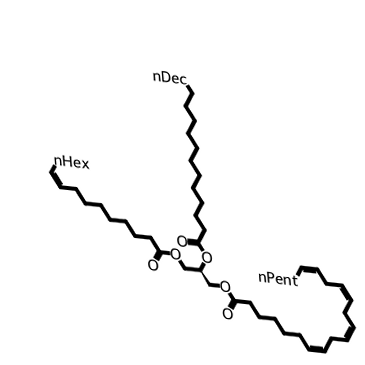 CCCCC/C=C\C/C=C\C/C=C\C/C=C\CCCCCC(=O)OC[C@@H](COC(=O)CCCCCCC/C=C\CCCCCC)OC(=O)CCCCCCCCCCCCCCCCCCCCC